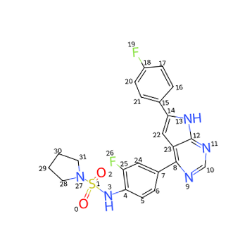 O=S(=O)(Nc1ccc(-c2ncnc3[nH]c(-c4ccc(F)cc4)cc23)cc1F)N1CCCC1